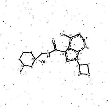 C[C@H]1CCC[C@@](O)(CNC(=O)c2cn(C3COC3)c3nccc(Cl)c23)C1